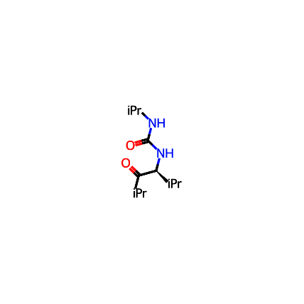 CC(C)NC(=O)N[C@H](C(=O)C(C)C)C(C)C